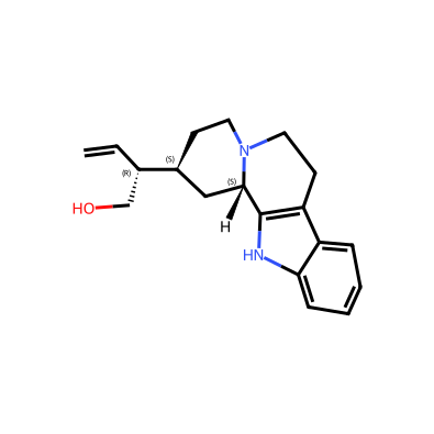 C=C[C@@H](CO)[C@H]1CCN2CCc3c([nH]c4ccccc34)[C@@H]2C1